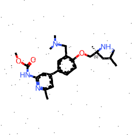 COC(=O)Nc1cc(-c2ccc(OC[C@@](C)(N)CC(C)C)c(CN(C)C)c2)cc(C)n1